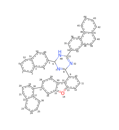 c1ccc2cc(C3N=C(c4cccc5oc6cc(-c7cccc8ccccc78)ccc6c45)N=C(c4ccc5c(ccc6ccccc65)c4)N3)ccc2c1